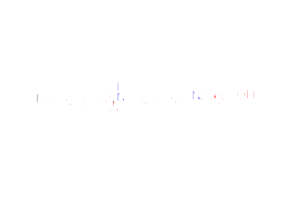 CCSCSCSCCOC(=O)NCCSCSCSCC/N=C/OOCCO